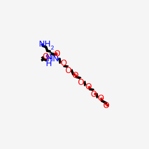 COCCOCCOCCOCCOCCOCCOCCOCCNC(=O)[C@H](CCCCN)NOC(C)(C)C